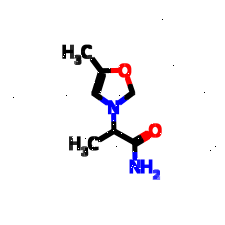 CC1=CN(C(C)C(N)=O)CO1